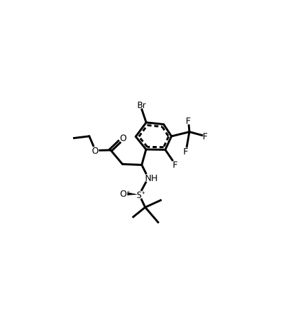 CCOC(=O)CC(N[S@+]([O-])C(C)(C)C)c1cc(Br)cc(C(F)(F)F)c1F